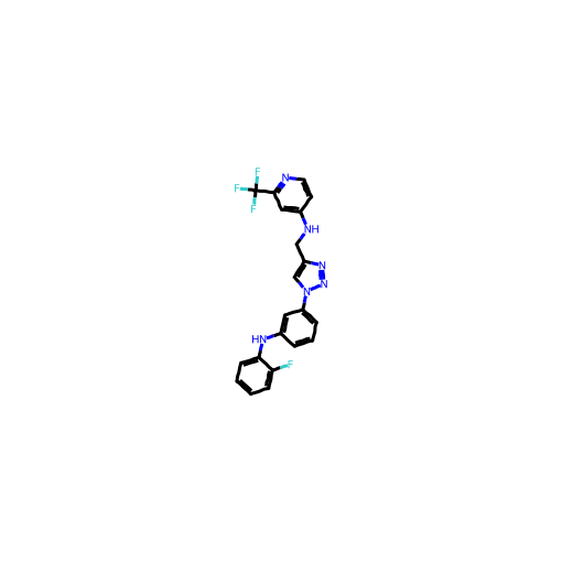 Fc1ccccc1Nc1cccc(-n2cc(CNc3ccnc(C(F)(F)F)c3)nn2)c1